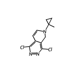 CC1(N2C=Cc3c(Cl)nnc(Cl)c3C2)CC1